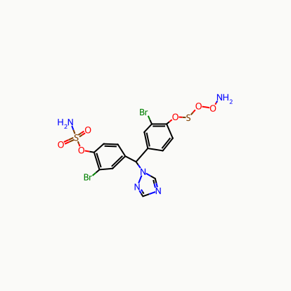 NOOSOc1ccc(C(c2ccc(OS(N)(=O)=O)c(Br)c2)n2cncn2)cc1Br